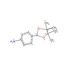 CC1(C)ON(c2ccc(N)cc2)OC1(C)C